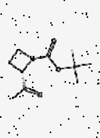 CC(=O)[C@@H]1CCN1C(=O)OC(C)(C)C